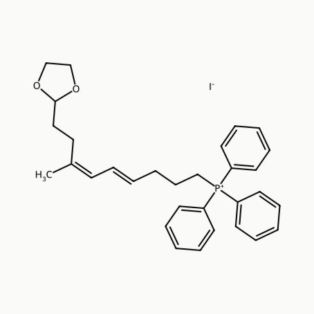 CC(=CC=CCCC[P+](c1ccccc1)(c1ccccc1)c1ccccc1)CCC1OCCO1.[I-]